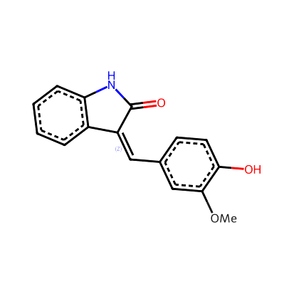 COc1cc(/C=C2\C(=O)Nc3ccccc32)ccc1O